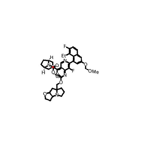 CCc1c(F)ccc2cc(OCOC)cc(-c3ncc4c(N5C[C@H]6CC[C@@H](C5)N6C(=O)OC(C)(C)C)nc(OCC56CCCN5C5CCOC5C6)nc4c3F)c12